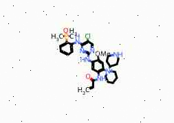 C=CC(=O)Nc1cc(Nc2ncc(Cl)c(Nc3ccccc3P(C)(C)=O)n2)c(OC)cc1[N+]1(C2CCNCC2)CCCCC1